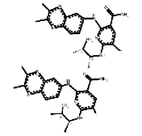 Cc1nc2ccc(Nc3nc(N[C@@H](C)[C@@H](C)N)c(F)cc3C(N)=O)cc2nc1C.Cc1nc2ccc(Nc3nc(N[C@H](C)[C@H](C)N)c(F)cc3C(N)=O)cc2nc1C